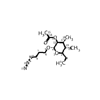 CCC1O[C@H](OCCCN=[N+]=[N-])C(OC(C)=O)[C@@H](C)[C@@H]1C